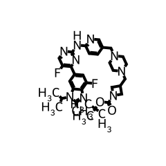 Cc1nc2c(F)cc(-c3nc(Nc4ccc(CN5CCN(CC6CN(C(=O)OC(C)(C)C)C6)CC5)cn4)ncc3F)cc2n1C(C)C